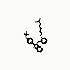 O=C(O)CCCCCOc1ccccc1Cn1c(-c2ccc(OC(F)(F)F)cc2)nc2cccnc21